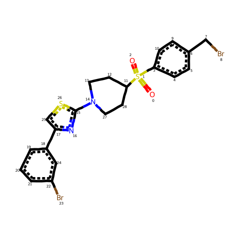 O=S(=O)(c1ccc(CBr)cc1)C1CCN(c2nc(-c3cccc(Br)c3)cs2)CC1